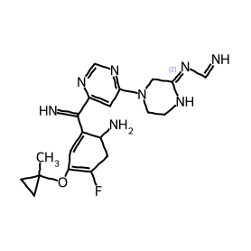 CC1(OC2=C(F)CC(N)C(C(=N)c3cc(N4CCN/C(=N\C=N)C4)ncn3)=C2)CC1